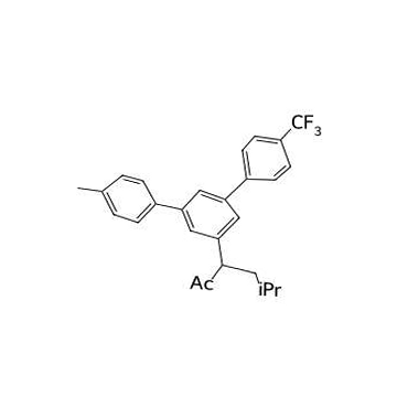 CC(=O)C(CC(C)C)c1cc(-c2ccc(C)cc2)cc(-c2ccc(C(F)(F)F)cc2)c1